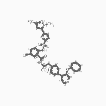 Cn1nc(C(F)(F)F)cc1-c1ccc(S(=O)(=O)Nc2ccc(Cl)cc2C(=O)N[C@@H](Cc2ccc(-c3ccccc3Oc3ccccc3)cc2)C(=O)O)s1